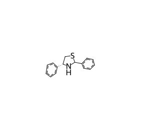 c1ccc(C2N[C@H](c3ccccc3)CS2)cc1